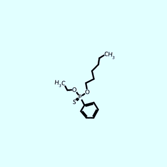 CCCCCCOP(=S)(OCC)c1ccccc1